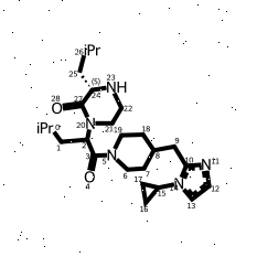 CC(C)CC(C(=O)N1CCC(Cc2nccn2C2CC2)CC1)N1CCN[C@@H](CC(C)C)C1=O